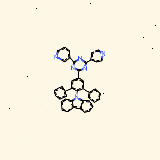 c1ccc(-c2cc(-c3nc(-c4ccncc4)nc(-c4cccnc4)n3)cc(-c3ccccc3)c2-n2c3ccccc3c3ccccc32)cc1